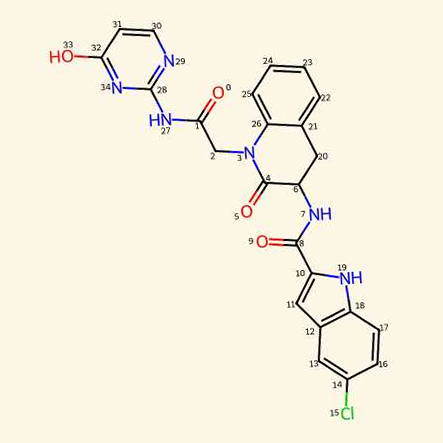 O=C(CN1C(=O)C(NC(=O)c2cc3cc(Cl)ccc3[nH]2)Cc2ccccc21)Nc1nccc(O)n1